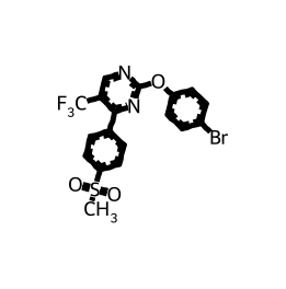 CS(=O)(=O)c1ccc(-c2nc(Oc3ccc(Br)cc3)ncc2C(F)(F)F)cc1